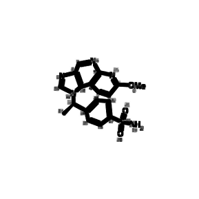 COc1ccc2c(ncc3ncn([C@H](C)c4ccc(S(N)(=O)=O)cc4)c32)n1